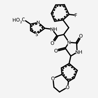 O=C(O)c1csc(NC(=O)C(Cc2ccccc2F)N2C(=O)NC(c3ccc4c(c3)OCCO4)C2=O)n1